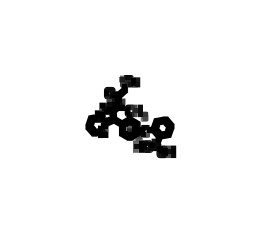 Cc1ccccc1-c1c(NC(=O)CC(C)(C)C)nn2cccnc12.Cc1ccccc1B(O)O